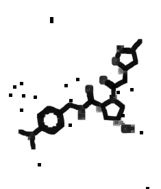 CC1=NO[C@H](CC(=O)N2C[C@H](O)C[C@H]2C(=O)NCc2ccc(N(C)C)cc2)C1